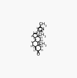 Cc1cn(C2=CCC3C4CCC5=CC(=O)CC[C@]5(C)C4CC[C@]23C)cn1